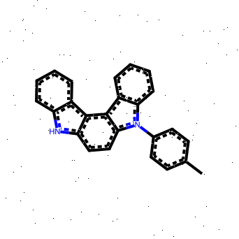 Cc1ccc(-n2c3ccccc3c3c4c(ccc32)[nH]c2ccccc24)cc1